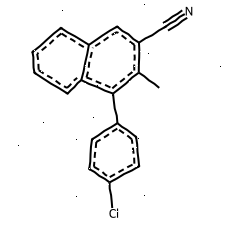 Cc1c(C#N)cc2ccccc2c1-c1ccc(Cl)cc1